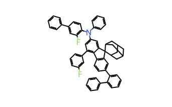 Fc1cccc(-c2cc(N(c3ccccc3)c3ccc(-c4ccccc4)cc3F)cc3c2-c2ccc(-c4ccccc4-c4ccccc4)cc2C32C3CC4CC(C3)CC2C4)c1